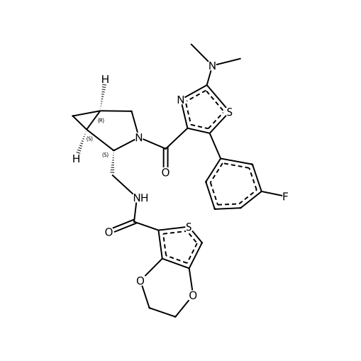 CN(C)c1nc(C(=O)N2C[C@@H]3C[C@@H]3[C@H]2CNC(=O)c2scc3c2OCCO3)c(-c2cccc(F)c2)s1